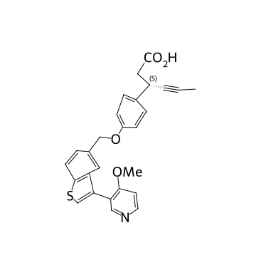 CC#C[C@@H](CC(=O)O)c1ccc(OCc2ccc3scc(-c4cnccc4OC)c3c2)cc1